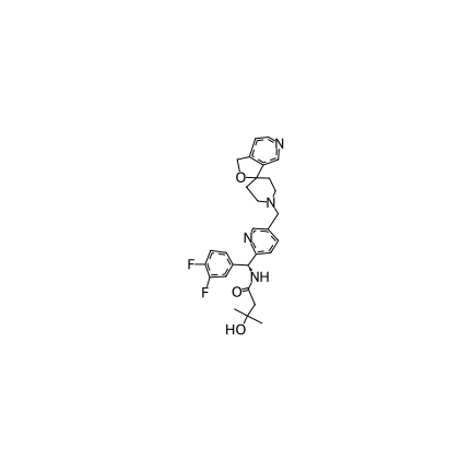 CC(C)(O)CC(=O)N[C@@H](c1ccc(F)c(F)c1)c1ccc(CN2CCC3(CC2)OCc2ccncc23)cn1